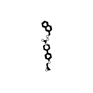 O=C(OOCc1ccc2ccccc2c1)N1CCC(c2ccc(OCC3CO3)cc2)CC1